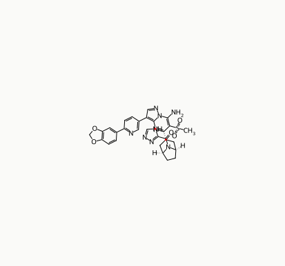 CS(=O)(=O)c1c([C@@H]2C[C@H]3CC[C@@H](C2)N3C(=O)c2nnc[nH]2)nc2c(-c3ccc(-c4ccc5c(c4)OCO5)nc3)cnn2c1N